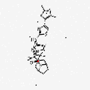 CCN(CC)C(=O)N1CC2CCC(C1)N2C(=O)C1(C)C=NC(Nc2nc(-c3sc(C)nc3C)cs2)=CC1